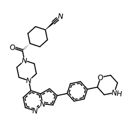 N#C[C@H]1CC[C@H](C(=O)N2CCN(c3ccnn4cc(-c5ccc(C6CNCCO6)cc5)cc34)CC2)CC1